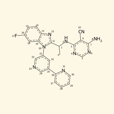 CC(Nc1ncnc(N)c1C#N)c1nc2ccc(F)cc2n1-c1cncc(-c2ccccn2)c1